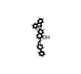 O[C@@H]1c2ccc(OCc3ccccc3-c3ccccc3)cc2CC[C@@H]1CCN1CCC(c2ccccc2)CC1